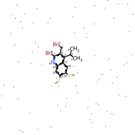 CC(C)c1c(CBr)c(Br)nc2cc(F)c(F)cc12